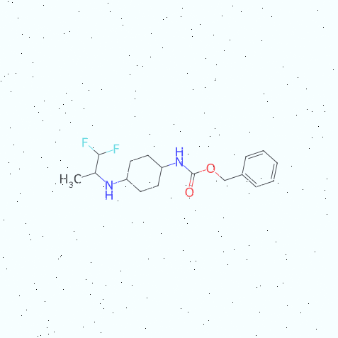 CC(NC1CCC(NC(=O)OCc2ccccc2)CC1)C(F)F